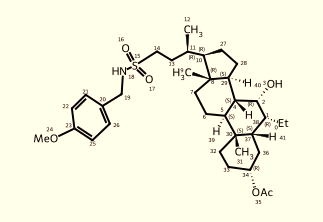 CC[C@H]1[C@@H](O)[C@@H]2[C@H](CC[C@]3(C)[C@@H]([C@H](C)CCS(=O)(=O)NCc4ccc(OC)cc4)CC[C@@H]23)[C@@]2(C)CC[C@@H](OC(C)=O)C[C@@H]12